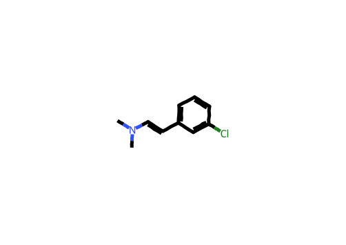 CN(C)C=Cc1cccc(Cl)c1